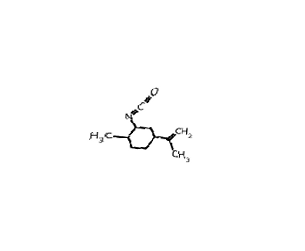 C=C(C)C1CCC(C)C(N=C=O)C1